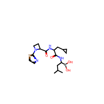 CC(C)CC(NC(=O)C(CC1CC1)NC(=O)C1CCN1c1nccs1)B(O)O